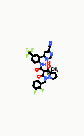 C[C@]12CCCN1N(Cc1cccc(F)c1F)C(=O)C(C(=O)Nc1ccc(C(F)(F)F)cc1-c1cc(C#N)ncn1)=C2O